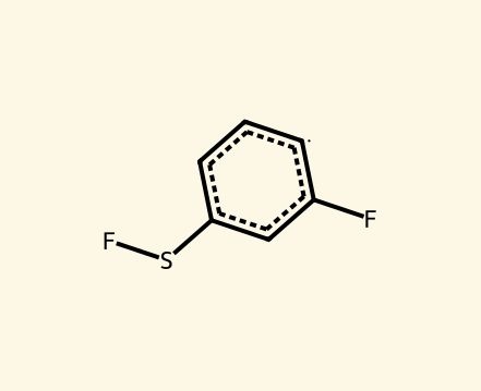 FSc1cc[c]c(F)c1